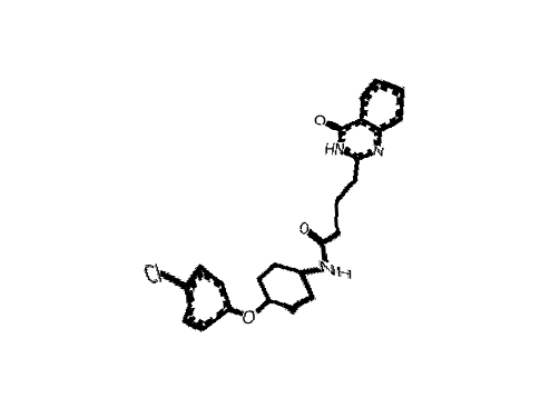 O=C(CCCc1nc2ccccc2c(=O)[nH]1)NC1CCC(Oc2ccc(Cl)cc2)CC1